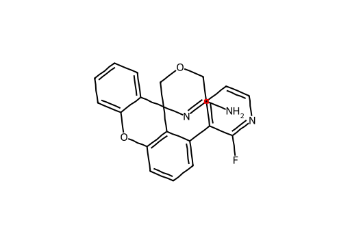 NC1=NC2(COC1)c1ccccc1Oc1cccc(-c3cccnc3F)c12